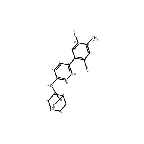 Cc1cc(F)c(-c2ccc(OC3CN4CCC3CC4)nn2)cc1F